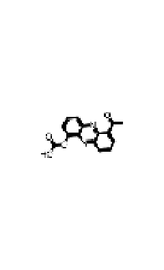 CC(=O)c1cccc2nc3c(OC(=O)O)cccc3nc12